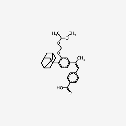 COC(C)OCOc1cc(/C(C)=C\c2ccc(C(=O)O)cc2)ccc1C12CC3CC(CC(C3)C1)C2